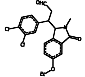 CCOc1ccc2c(c1)C(=O)N(C)C2C(CC=O)c1ccc(Cl)c(Cl)c1